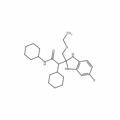 CCOCC1(C(C(=O)NC2CCCCC2)C2CCCCC2)Nc2ccc(F)cc2N1